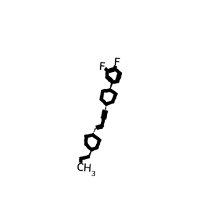 CCC[C@H]1CC[C@H](/C=C/C#C[C@H]2CC[C@H](c3ccc(F)c(F)c3)CC2)CC1